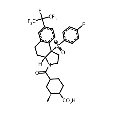 C[C@H]1CC(C(=O)N2CC[C@@]3(S(=O)(=O)c4ccc(F)cc4)c4ccc(C(F)(C(F)(F)F)C(F)(F)F)cc4CC[C@@H]23)CC[C@H]1C(=O)O